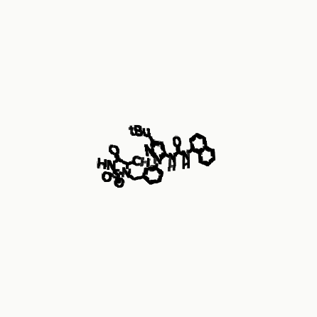 CC1C(=O)NS(=O)(=O)N1Cc1cccc(-n2nc(C(C)(C)C)cc2NC(=O)Nc2cccc3ccccc23)c1